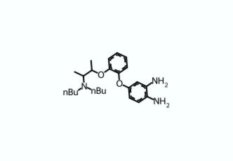 CCCCN(CCCC)C(C)C(C)Oc1ccccc1Oc1ccc(N)c(N)c1